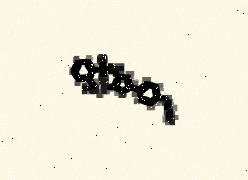 Cc1ccccc1S(=O)(=O)Nc1cc(-c2ccc(N=[N+]=[N-])cc2)sc1C(=O)O